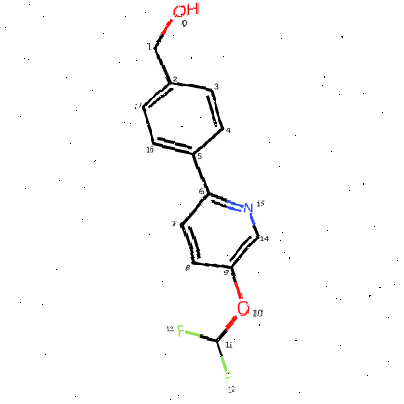 OCc1ccc(-c2ccc(OC(F)F)cn2)cc1